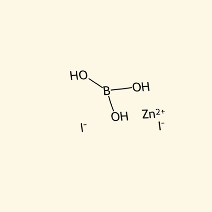 OB(O)O.[I-].[I-].[Zn+2]